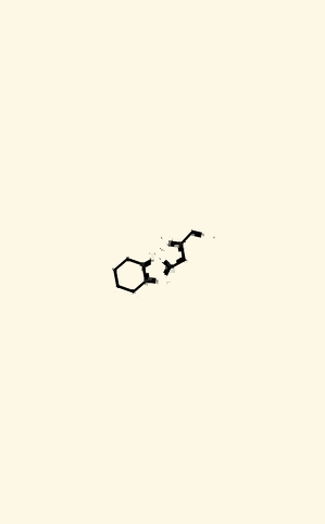 O=Cc1cc2oc3c(n2n1)CCCC3